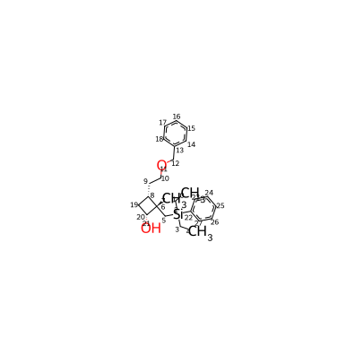 CC[Si](CC)(C[C@@]1(C)[C@@H](CCOCc2ccccc2)C[C@H]1O)c1ccccc1